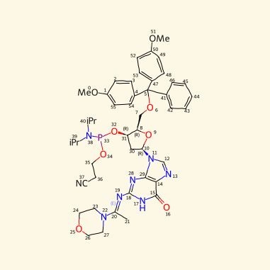 COc1ccc(C(OC[C@H]2O[C@@H](n3cnc4c(=O)[nH]c(/N=C(\C)N5CCOCC5)nc43)C[C@H]2OP(OCCC#N)N(C(C)C)C(C)C)(c2ccccc2)c2ccc(OC)cc2)cc1